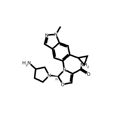 Cn1ncc2cc(N3C(C(N)=O)=CO[C@H]3N3CCC(N)C3)c(C3CC3)cc21